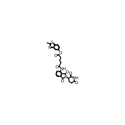 Cc1nc2cc(OC(=O)CCCC(=O)Nc3cccc4c3C(=O)N(C3CCC(=O)NC3=O)C4=O)ccc2s1